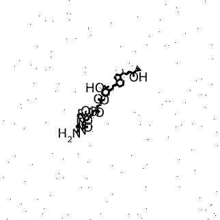 C[C@@H](/C=C/C(O)C1CC1)C1CCC2/C(=C/C=C3/C[C@@H](OC(=O)CCC(=O)OCC4OC(n5ccc(N)nc5=O)C(F)(F)C4O)C[C@H](O)C3(C)C)CCC[C@@]21C